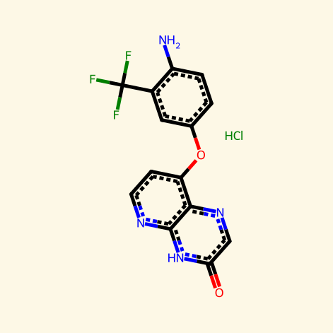 Cl.Nc1ccc(Oc2ccnc3[nH]c(=O)cnc23)cc1C(F)(F)F